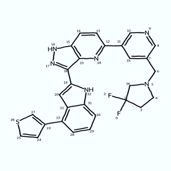 FC1(F)CCN(Cc2cncc(-c3ccc4[nH]nc(-c5cc6c(-c7ccsc7)cccc6[nH]5)c4n3)c2)C1